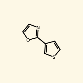 c1coc(-c2ccsc2)n1